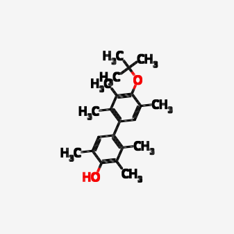 Cc1cc(-c2cc(C)c(OC(C)(C)C)c(C)c2C)c(C)c(C)c1O